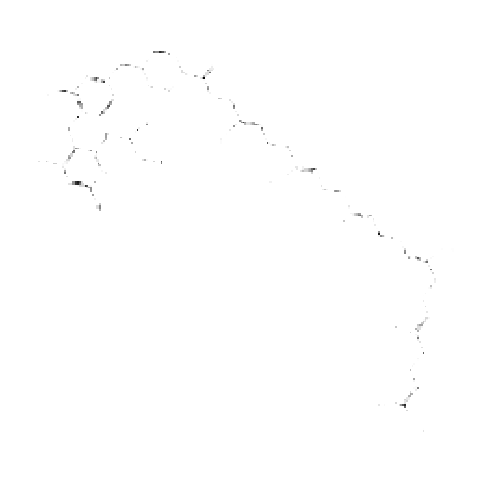 CCC[C@@H](CO)Nc1nc(N)nc(C)c1Cc1ccc(CN2CCN(C(=O)CC/C(C)=C/CC/C(C)=C/CC/C(C)=C/CC/C=C(\C)CC/C=C(\C)CCC=C(C)C)CC2)cc1C